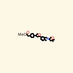 COC(=O)CC1CCC(C2COC(c3ccc4c(c3)CN(C3COC(C)(C)C3)C4)C2)CC1